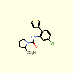 O=C(O)C1CCCN1C(=O)Nc1cc(Cl)ccc1-c1ccsc1